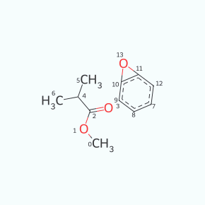 COC(=O)C(C)C.c1ccc2c(c1)O2